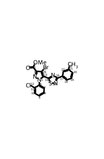 COC(=O)c1nn(-c2ccccc2Cl)c(-c2nc(-c3cccc(C)c3)ns2)c1Br